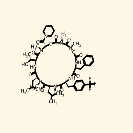 CC(C)C[C@H]1C(=O)N(C)[C@@H](CC(C)C)C(=O)N[C@@H]([C@@H](C)O)C(=O)N(C)[C@H](C(=O)N2CCCCC2)CC(=O)N(C)C(=O)N(C)CC(=O)NC(Cc2ccccc2)C(=O)N[C@@H](Cc2ccc(C(F)(F)F)cc2)C(=O)N1C